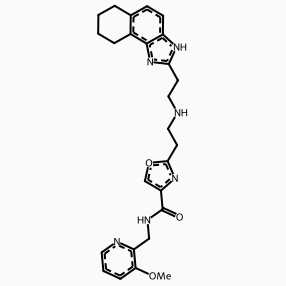 COc1cccnc1CNC(=O)c1coc(CCNCCc2nc3c4c(ccc3[nH]2)CCCC4)n1